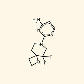 Nc1ccnc(N2CCC3(CCO3)C(F)(F)C2)n1